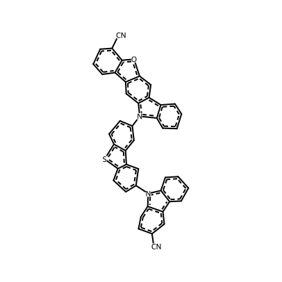 N#Cc1ccc2c(c1)c1ccccc1n2-c1ccc2sc3ccc(-n4c5ccccc5c5cc6oc7c(C#N)cccc7c6cc54)cc3c2c1